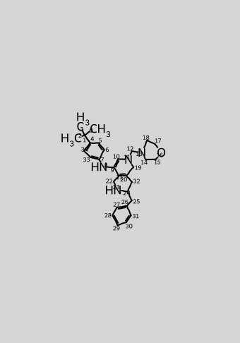 CC(C)(C)c1ccc(NC2=CN(CN3CCOCC3)CC3=C2CNC(Cc2ccccc2)C3)cc1